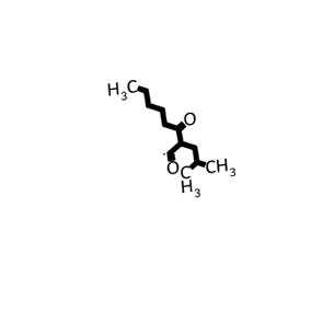 CCCCCC(=O)C([C]=O)CC(C)C